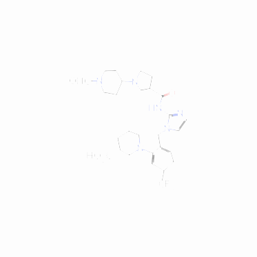 O=CN1CCC(N2CCC(C(=O)Nc3nccn3CC3=CCC(C(F)(F)F)C=C3N3CCC[C@@H](C(=O)O)C3)C2)CC1